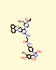 C=CC(=O)N1CCN(c2nc(NCCC(=O)NCc3ccc(-n4c(O)nnc4-c4cc(C(C)C)c(O)cc4O)cc3F)nc3c2CCN(c2cccc4cccc(Cl)c24)C3)C[C@H]1CC#N